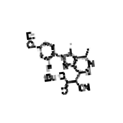 CCOc1ccc(-n2nc3c(C(C#N)C(=O)OC(C)(C)C)nnc(C)c3c2C)c(F)c1